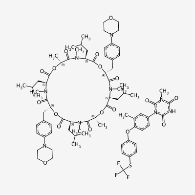 CC(C)C[C@H]1C(=O)O[C@H](Cc2ccc(N3CCOCC3)cc2)C(=O)N(C)[C@@H](CC(C)C)C(=O)O[C@H](C)C(=O)N(C)[C@@H](CC(C)C)C(=O)O[C@H](Cc2ccc(N3CCOCC3)cc2)C(=O)N(C)[C@@H](CC(C)C)C(=O)O[C@H](C)C(=O)N1C.Cc1cc(-n2c(=O)[nH]c(=O)n(C)c2=O)ccc1Oc1ccc(SC(F)(F)F)cc1